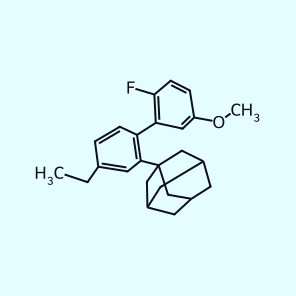 CCc1ccc(-c2cc(OC)ccc2F)c(C23CC4CC(CC(C4)C2)C3)c1